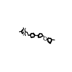 Cc1ccc(OCc2ccc(-c3ccc(CCc4ncc(C)cn4)cc3)cc2)cc1